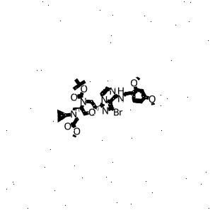 COC(=O)CN(C[C@@H]1CO[C@@H](c2nc(Br)c3c(NCc4ccc(OC)cc4OC)nccn23)CN1C(=O)OC(C)(C)C)C1CC1